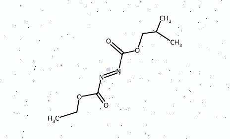 CCOC(=O)/N=N/C(=O)OCC(C)C